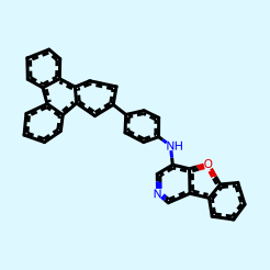 c1ccc2c(c1)oc1c(Nc3ccc(-c4ccc5c6ccccc6c6ccccc6c5c4)cc3)cncc12